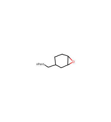 [CH2]CCCCCC1CCC2OC2C1